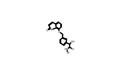 CCC(NC(C)C)C(O)c1cccc(COc2cccc3ccc(=O)[nH]c23)c1